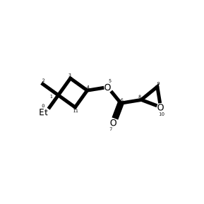 CCC1(C)CC(OC(=O)C2CO2)C1